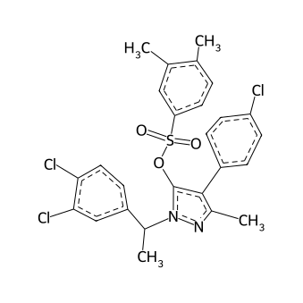 Cc1ccc(S(=O)(=O)Oc2c(-c3ccc(Cl)cc3)c(C)nn2C(C)c2ccc(Cl)c(Cl)c2)cc1C